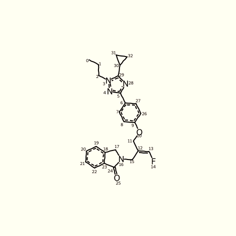 CCCn1nc(-c2ccc(OC/C(=C/F)CN3Cc4ccccc4C3=O)cc2)nc1C1CC1